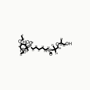 CCOC(CO)C(O)C(C)(OCC)[PH](=O)CCCCCC[PH](=O)C(C)(C)COC(C)CO